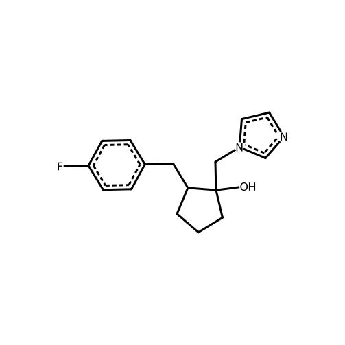 OC1(Cn2ccnc2)CCCC1Cc1ccc(F)cc1